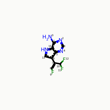 Nc1ncnc2c(C(=CF)C(F)F)c[nH]c12